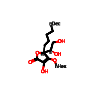 CCCCCCCCCCCCCC[C@]1([C@@H](O)CO)OC(=O)C(O)=C1OCCCCCC